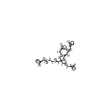 C(CSCC(CSCC1CO1)(CSCC1CO1)SCCSCC1CO1)SCC1CO1